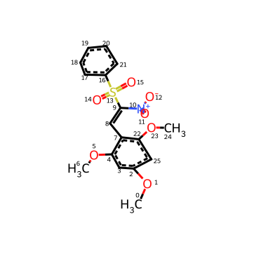 COc1cc(OC)c(C=C([N+](=O)[O-])S(=O)(=O)c2ccccc2)c(OC)c1